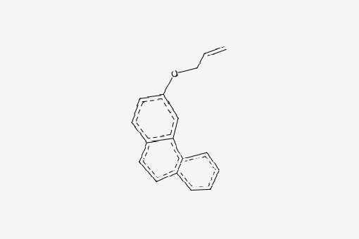 C=CCOc1ccc2c[c]c3ccccc3c2c1